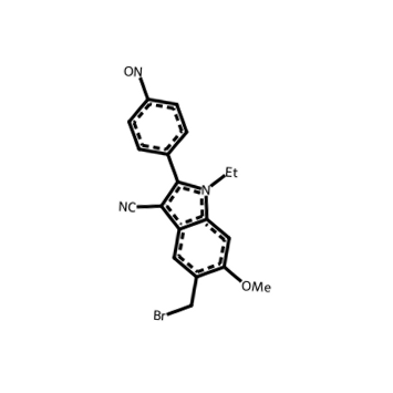 CCn1c(-c2ccc(N=O)cc2)c(C#N)c2cc(CBr)c(OC)cc21